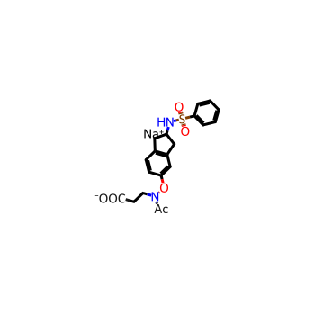 CC(=O)N(CCC(=O)[O-])Oc1ccc2c(c1)CC(NS(=O)(=O)c1ccccc1)C2.[Na+]